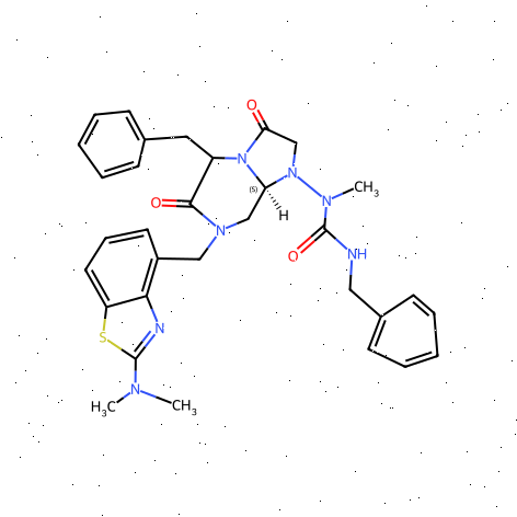 CN(C)c1nc2c(CN3C[C@H]4N(C(=O)CN4N(C)C(=O)NCc4ccccc4)C(Cc4ccccc4)C3=O)cccc2s1